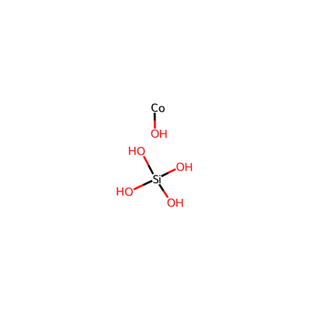 O[Si](O)(O)O.[OH][Co]